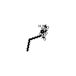 CCCCCCCC/C=C\CCCCCCCC(=O)N(C(=O)[C@@H]1CCCN1C(=O)[C@H](C)NC(=O)[C@H](C)N)[C@@H](C)C=O